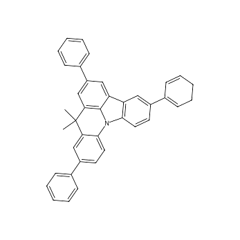 CC1(C)c2cc(-c3ccccc3)ccc2-n2c3ccc(C4=CCCC=C4)cc3c3cc(-c4ccccc4)cc1c32